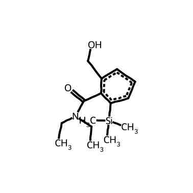 CCN(CC)C(=O)c1c(CO)cccc1[Si](C)(C)C